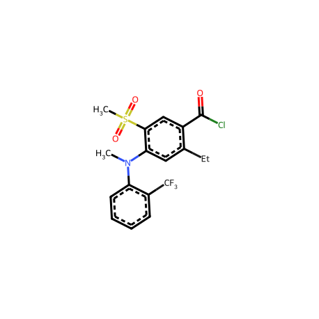 CCc1cc(N(C)c2ccccc2C(F)(F)F)c(S(C)(=O)=O)cc1C(=O)Cl